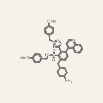 COc1ccc(CNS(=O)(=O)c2c(CC3CCC(N)CC3)ccc(-c3ccnc4ccccc34)c2-c2nnn(Cc3ccc(OC)cc3)n2)cc1